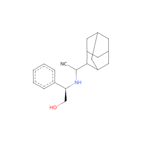 N#CC(N[C@@H](CO)c1ccccc1)C1C2CC3CC(C2)CC1C3